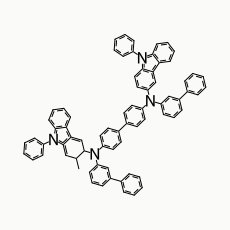 CC1C=c2c(c3ccccc3n2-c2ccccc2)=CC1N(c1ccc(-c2ccc(N(c3cccc(-c4ccccc4)c3)c3ccc4c(c3)c3ccccc3n4-c3ccccc3)cc2)cc1)c1cccc(-c2ccccc2)c1